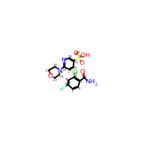 NC(=O)c1ccc(F)cc1Cl.O=S(=O)(O)c1ccc(N2CCOCC2)nc1